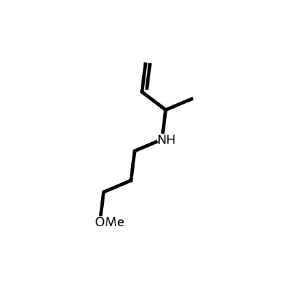 C=CC(C)NCCCOC